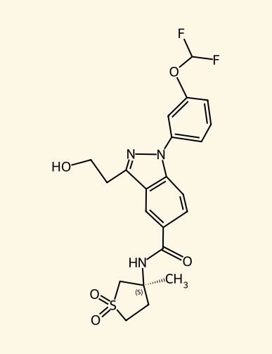 C[C@]1(NC(=O)c2ccc3c(c2)c(CCO)nn3-c2cccc(OC(F)F)c2)CCS(=O)(=O)C1